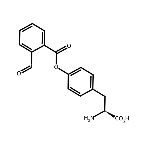 N[C@@H](Cc1ccc(OC(=O)c2ccccc2I=O)cc1)C(=O)O